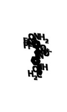 C=CC(=O)Nc1cccc(-n2cc(-c3ccc(C(N)=O)c(OC(F)(F)F)c3)c([N+](=O)[O-])n2)c1